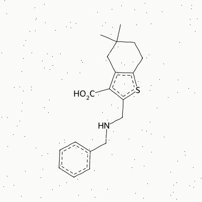 CC1(C)CCc2sc(CNCc3ccccc3)c(C(=O)O)c2C1